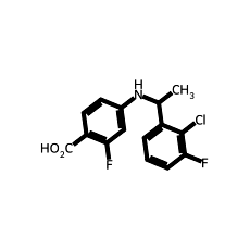 CC(Nc1ccc(C(=O)O)c(F)c1)c1cccc(F)c1Cl